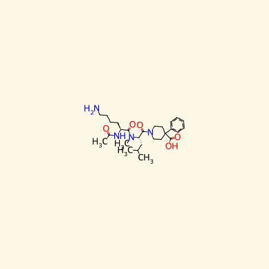 CC(=O)N[C@@H](CCCCN)C(=O)N(C)[C@@H](CC(C)C)C(=O)N1CCC(C(=O)O)(c2ccccc2)CC1